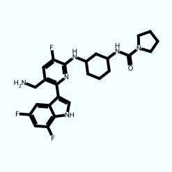 NCc1cc(F)c(NC2CCCC(NC(=O)N3CCCC3)C2)nc1-c1c[nH]c2c(F)cc(F)cc12